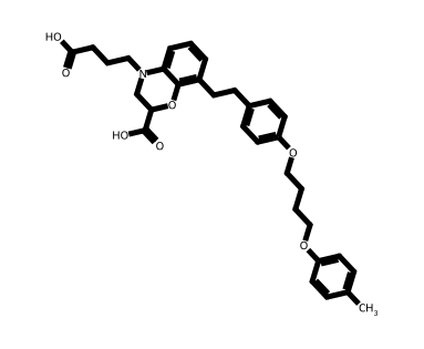 Cc1ccc(OCCCCOc2ccc(CCc3cccc4c3OC(C(=O)O)CN4CCCC(=O)O)cc2)cc1